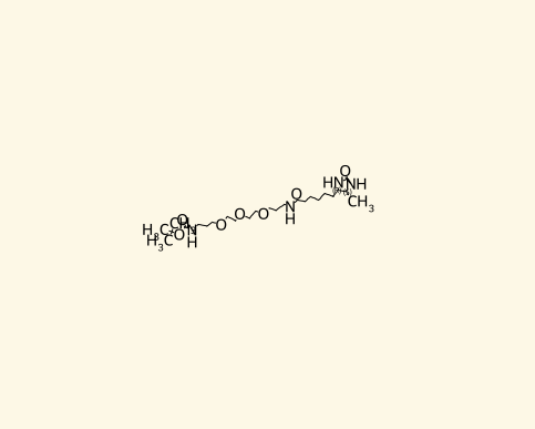 C[C@@H]1NC(=O)N[C@@H]1CCCCCC(=O)NCCCOCCOCCOCCCNC(=O)OC(C)(C)C